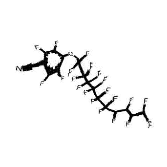 N#Cc1c(F)c(F)c(OC(F)(F)C(F)(F)C(F)(F)C(F)(F)C(F)(F)C(F)(F)C(F)C(F)C(F)C(F)F)c(F)c1F